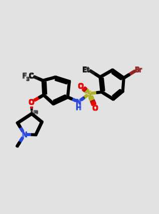 CCc1cc(Br)ccc1S(=O)(=O)Nc1ccc(C(F)(F)F)c(O[C@@H]2CCN(C)C2)c1